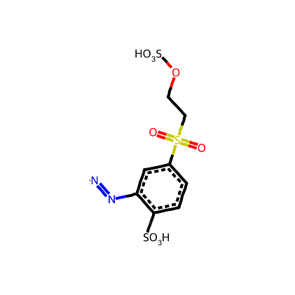 [N]=Nc1cc(S(=O)(=O)CCOS(=O)(=O)O)ccc1S(=O)(=O)O